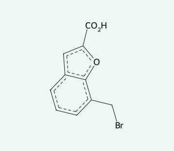 O=C(O)c1cc2cccc(CBr)c2o1